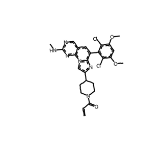 C=CC(=O)N1CCC(c2cn3c(n2)c(-c2c(Cl)c(OC)cc(OC)c2Cl)cc2cnc(NC)nc23)CC1